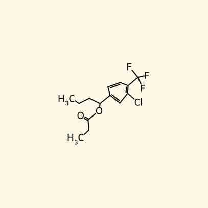 CCCC(OC(=O)CC)c1ccc(C(F)(F)F)c(Cl)c1